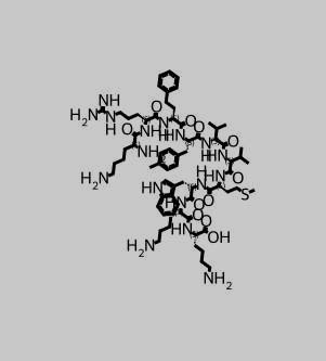 CSCC[C@H](NC(=O)[C@@H](NC(=O)[C@@H](NC(=O)[C@H](Cc1ccc(C)cc1)NC(=O)[C@H](CCc1ccccc1)NC(=O)[C@H](CCCNC(=N)N)NC(=O)[C@@H](N)CCCCN)C(C)C)C(C)C)C(=O)N[C@@H](Cc1c[nH]c2ccccc12)C(=O)N[C@@H](CCCCN)C(=O)N[C@@H](CCCCN)C(=O)O